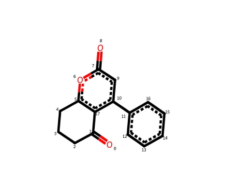 O=C1CCCc2oc(=O)cc(-c3ccccc3)c21